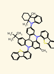 Cc1cc2c3c(c1)N(c1cccc4c1sc1ccccc14)c1cc(N4c5ccccc5C5(C)CCCCC45C)ccc1B3c1cc(C(C)(C)C)ccc1N2c1cccc2c1sc1ccccc12